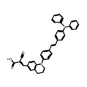 N#C/C(=C\c1ccc2c(c1)CCCN2c1ccc(/C=C/c2ccc(N(c3ccccc3)c3ccccc3)cc2)cc1)C(=O)O